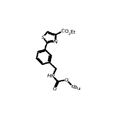 CCOC(=O)c1csc(-c2cccc(CNC(=O)OC(C)(C)C)c2)n1